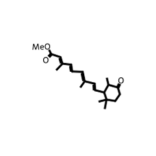 COC(=O)/C=C(C)/C=C/C=C(C)/C=C/C1C(C)C(=O)CCC1(C)C